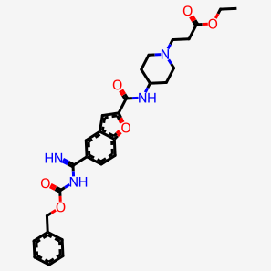 CCOC(=O)CCN1CCC(NC(=O)c2cc3cc(C(=N)NC(=O)OCc4ccccc4)ccc3o2)CC1